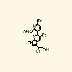 CCc1cc2c(C(CC)CO)cn(C)c2nc1-c1ccc(C(C)C)nc1OC